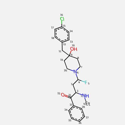 CCNC(CC(F)N1CCC(O)(Cc2ccc(Cl)cc2)CC1)C(=O)c1ccccc1